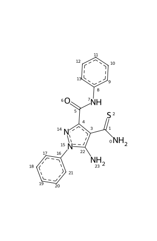 NC(=S)c1c(C(=O)Nc2ccccc2)nn(-c2ccccc2)c1N